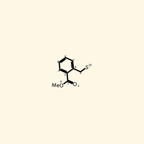 COC(=O)c1ccccc1C[S]